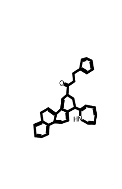 O=C(CCc1ccccc1)C1C=c2c(ccc3c2=CCc2ccccc2-3)C(C2=CC=CC=CN2)C1